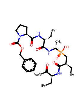 CNC(=O)[C@H](CC(C)C)NC(=O)[C@H](CC(C)C)CP(=O)(O)[C@@H](C)NC(=O)[C@@H](CC(C)C)NC(=O)[C@@H]1CCCN1C(=O)OCc1ccccc1